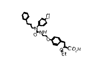 CCOC(Cc1ccc(OCCNC(=O)N(CCCc2ccccc2)c2ccc(Cl)cc2)cc1)C(=O)O